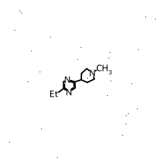 CCc1cnc(C2CCN(C)CC2)cn1